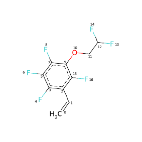 C=Cc1c(F)c(F)c(F)c(OCC(F)F)c1F